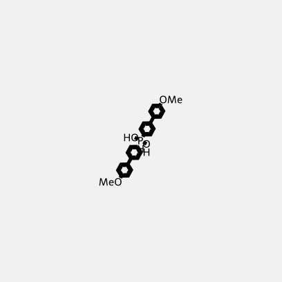 COc1ccc(-c2ccc([PH](O)(O)c3ccc(-c4ccc(OC)cc4)cc3)cc2)cc1